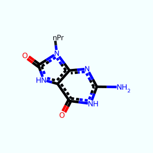 CCCn1c(=O)[nH]c2c(=O)[nH]c(N)nc21